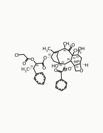 CC(=O)O[C@@]12CO[C@@H]1C[C@H](O)[C@@]1(C)C(=O)[C@H](C)C3=C(C)[C@@H](OC(=O)[C@H](OC(=O)CCl)[C@@H](C)c4ccccc4)C[C@](O)(C3)[C@@H](OC(=O)c3ccccc3)[C@H]21